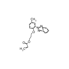 C=CC(=O)OCCCOc1ccc(C)cc1-n1nc2ccccc2n1